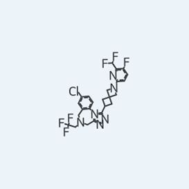 Fc1ccc(N2CC3(CC(c4nnc5n4-c4ccc(Cl)cc4CN(CC(F)(F)F)C5)C3)C2)nc1C(F)F